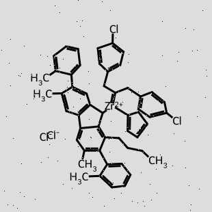 CCCCc1c(-c2ccccc2C)c(C)cc2c1[CH]([Zr+2]([C]1=CC=CC1)=[C](Cc1ccc(Cl)cc1)Cc1ccc(Cl)cc1)c1cc(-c3ccccc3C)c(C)cc1-2.[Cl-].[Cl-]